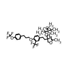 CC1=NC(CCc2ccc(OCCCc3ccc(OC(F)(F)F)cc3)c(C(F)(F)F)c2)(COP(=O)(C(C)(C)C)C(C)(C)C)CO1